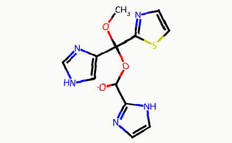 COC(OC([O])c1ncc[nH]1)(c1c[nH]cn1)c1nccs1